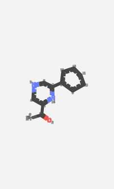 CC(C)C(=O)c1cncc(-c2ccccc2)n1